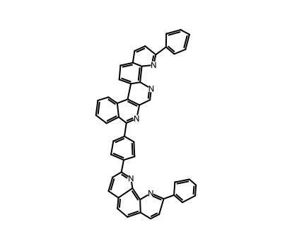 c1ccc(-c2ccc3ccc4ccc(-c5ccc(-c6nc7cnc8c(ccc9ccc(-c%10ccccc%10)nc98)c7c7ccccc67)cc5)nc4c3n2)cc1